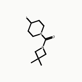 CC1(C)CN(C(=O)N2CCC(I)CC2)C1